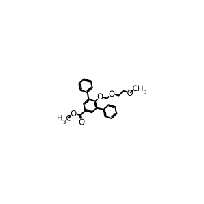 COCCOCOc1c(-c2ccccc2)cc(C(=O)OC)cc1-c1ccccc1